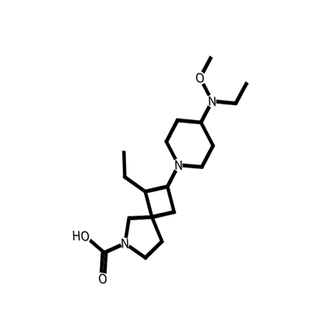 CCC1C(N2CCC(N(CC)OC)CC2)CC12CCN(C(=O)O)C2